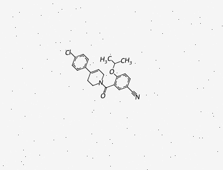 CC(C)Oc1ccc(C#N)cc1C(=O)N1CC=C(c2ccc(Cl)cc2)CC1